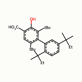 CCC(C)(C)c1ccc(C(C)(C)CC)c(-c2c(C(C)(C)C)cc(C(=O)O)c(O)c2C(C)(C)C)c1